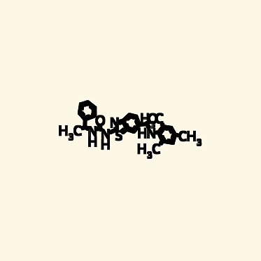 Cc1cc(C)c(NC(=O)c2ccc3nc(NC(=O)NC(C)c4ccccc4)sc3c2)c(C)c1